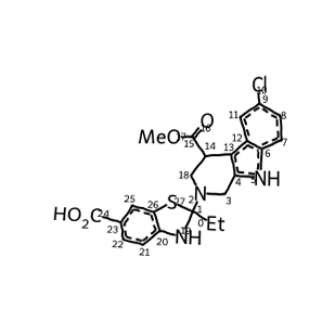 CCC1(N2Cc3[nH]c4ccc(Cl)cc4c3C(C(=O)OC)C2)Nc2ccc(C(=O)O)cc2S1